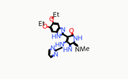 CCOc1cc2nc(C3=C(NCc4ncccn4)C(=N)/C(=C\NC)NC3=O)[nH]c2cc1OCC